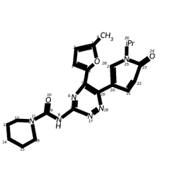 Cc1ccc(-c2nc(NC(=O)N3CCCCC3)nnc2-c2ccc(=O)n(C(C)C)c2)o1